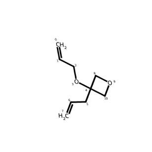 C=CCOC1(CC=C)COC1